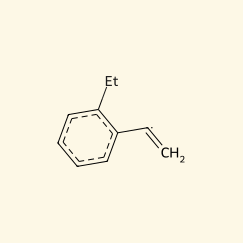 C=[C]c1ccccc1CC